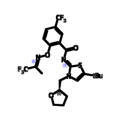 C/C(=N\Oc1ccc(C(F)(F)F)cc1C(=O)/N=c1\sc(C(C)(C)C)cn1C[C@H]1CCCO1)C(F)(F)F